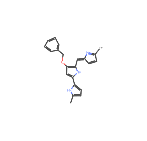 CCC1=NC(=Cc2[nH]c(-c3ccc(C)[nH]3)cc2OCc2ccccc2)C=C1